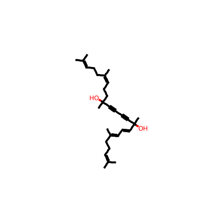 CC(C)=CCCC(C)=CC=CC(C)(O)C#CC#CC(C)(O)CCC=C(C)CCC=C(C)C